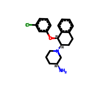 N[C@@H]1CCCN([C@H]2CCc3ccccc3[C@@H]2Oc2cccc(Cl)c2)C1